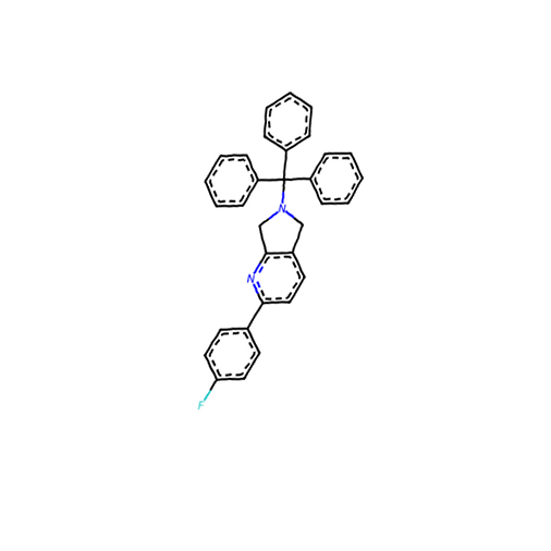 Fc1ccc(-c2ccc3c(n2)CN(C(c2ccccc2)(c2ccccc2)c2ccccc2)C3)cc1